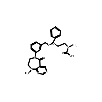 CN(CC[C@@H](OCc1cccc(N2CCN(C)c3ncncc3C2=O)c1)c1ccccc1)C(=O)O